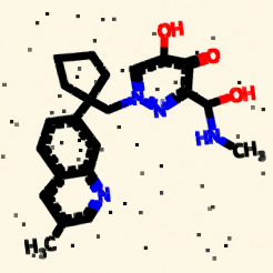 CNC(O)c1nn(CC2(c3ccc4cc(C)cnc4c3)CCCC2)cc(O)c1=O